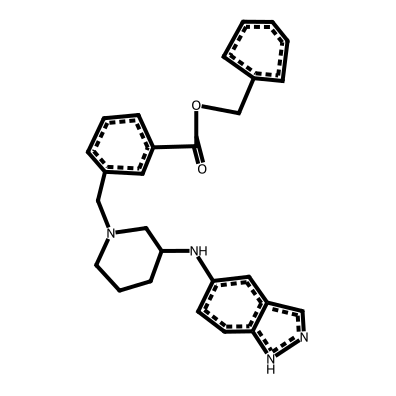 O=C(OCc1ccccc1)c1cccc(CN2CCCC(Nc3ccc4[nH]ncc4c3)C2)c1